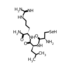 CC(C)C[C@H](NC(=O)[C@@H](N)C[SeH])C(=O)N[C@@H](CCCNC(=N)N)C(N)=O